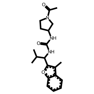 CC(=O)N1CCC(NC(=O)NC(c2oc3ccccc3c2C)C(C)C)C1